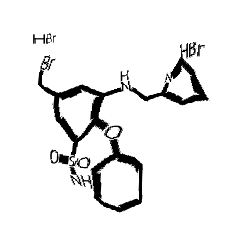 Br.Br.NS(=O)(=O)c1cc(CBr)cc(NCc2ccccn2)c1Oc1ccccc1